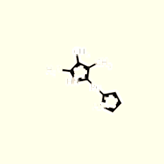 Cc1[nH][c]([Ru][c]2ccc[nH]2)c(C)c1C